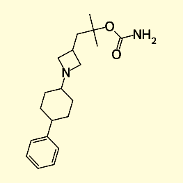 CC(C)(CC1CN(C2CCC(c3ccccc3)CC2)C1)OC(N)=O